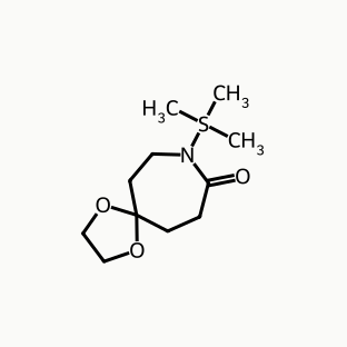 CS(C)(C)N1CCC2(CCC1=O)OCCO2